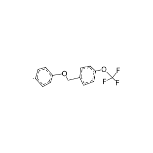 FC(F)(F)Oc1ccc(COc2cc[c]cc2)cc1